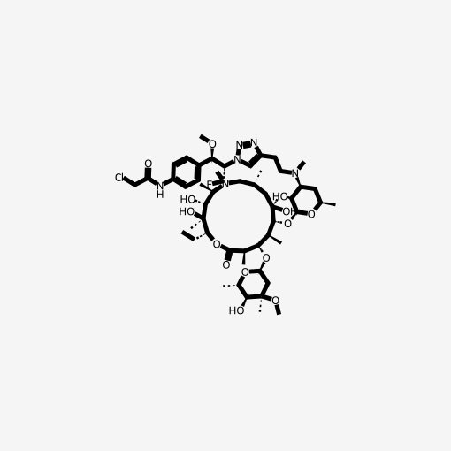 CC[C@H]1OC(=O)[C@H](C)[C@@H](O[C@H]2C[C@@](C)(OC)[C@@H](O)[C@H](C)O2)[C@H](C)[C@@H](O[C@@H]2O[C@H](C)C[C@H](N(C)CCc3cn([C@H](CF)[C@H](OC)c4ccc(NC(=O)CCl)cc4)nn3)[C@H]2O)[C@](C)(O)C[C@@H](C)CN(C)[C@H](C)[C@@H](O)[C@]1(C)O